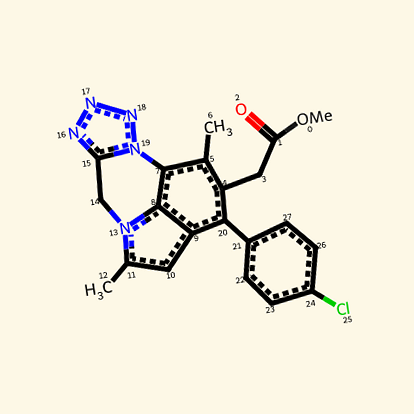 COC(=O)Cc1c(C)c2c3c(cc(C)n3Cc3nnnn3-2)c1-c1ccc(Cl)cc1